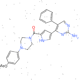 COc1ccc(N2CCN(C(=O)c3cc(-c4nc(N)ncc4-c4ccccc4)c[nH]3)CC2)cc1